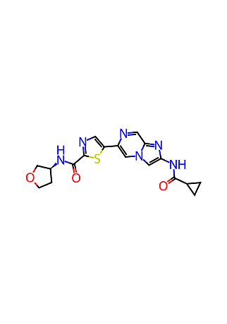 O=C(N[C@H]1CCOC1)c1ncc(-c2cn3cc(NC(=O)C4CC4)nc3cn2)s1